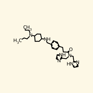 CCCN(CCC)C1CCC(NCc2ccc(CCC(=O)N(Cc3ncc[nH]3)Cc3ncc[nH]3)cc2)CC1